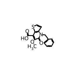 COc1c(C(=O)O)c2sccc2n(Cc2ccccc2)c1=O